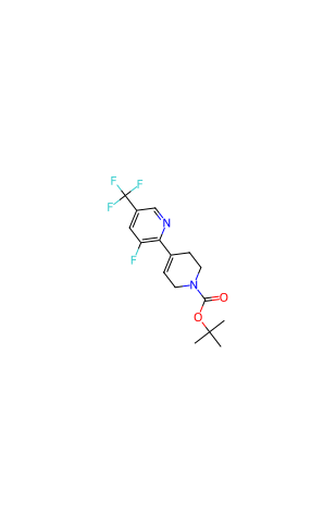 CC(C)(C)OC(=O)N1CC=C(c2ncc(C(F)(F)F)cc2F)CC1